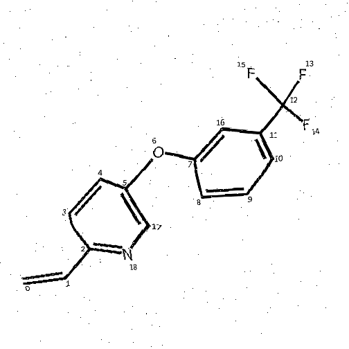 C=Cc1ccc(Oc2cccc(C(F)(F)F)c2)cn1